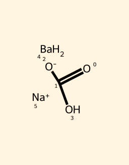 O=C([O-])O.[BaH2].[Na+]